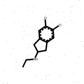 CCNC1Cc2cc(Cl)c(Cl)cc2C1